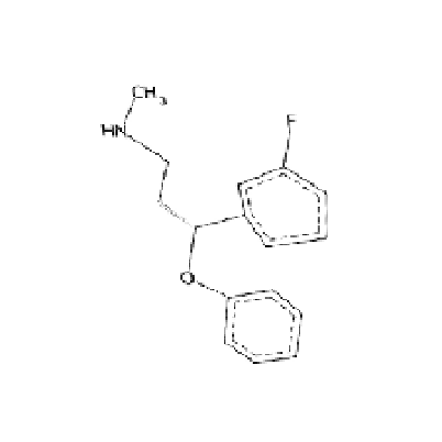 CNCC[C@@H](Oc1ccccc1)c1cccc(F)c1